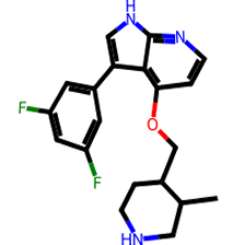 CC1CNCCC1COc1ccnc2[nH]cc(-c3cc(F)cc(F)c3)c12